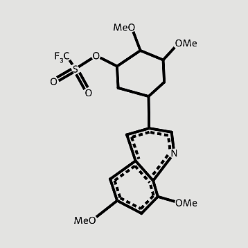 COc1cc(OC)c2ncc(C3CC(OC)C(OC)C(OS(=O)(=O)C(F)(F)F)C3)cc2c1